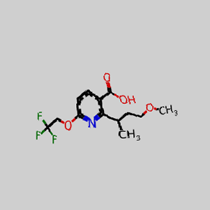 COCCC(C)c1nc(OCC(F)(F)F)ccc1C(=O)O